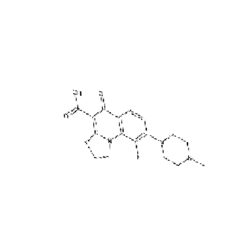 CN1CCN(c2ccc3c(=O)c(C(=O)O)c4n(c3c2F)CCS4)CC1